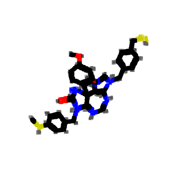 COc1ccc(C23NC(=O)N(Cc4ccc(SC)cc4)C2=NC=Nc2c3ncn2Cc2ccc(CS)cc2)cc1